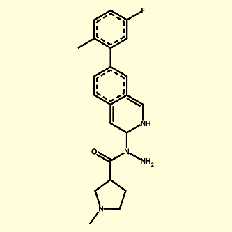 Cc1ccc(F)cc1-c1ccc2c(c1)=CNC(N(N)C(=O)C1CCN(C)C1)C=2